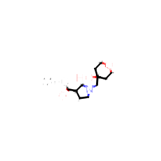 COC(=O)C1CCN(CC2(O)CCOCC2)C1